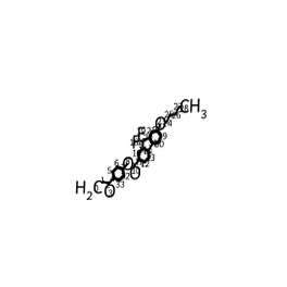 C=CC(=O)c1ccc(OC(=O)c2ccc3c(c2)C(F)(F)c2cc(OCCCCC)ccc2-3)cc1